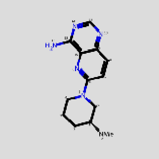 CN[C@H]1CCCN(c2ccc3ncnc(N)c3n2)C1